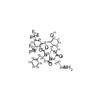 COc1ccc(CN2CC3N(C(=O)OCc4cc(C(F)(F)F)cc(C(F)(F)F)c4)C(Cc4ccccc4)CC(=O)N3[C@@H](CCCN)C2=O)cc1